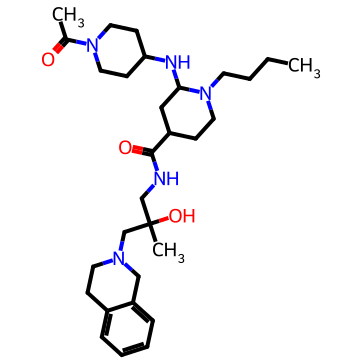 CCCCN1CCC(C(=O)NCC(C)(O)CN2CCc3ccccc3C2)CC1NC1CCN(C(C)=O)CC1